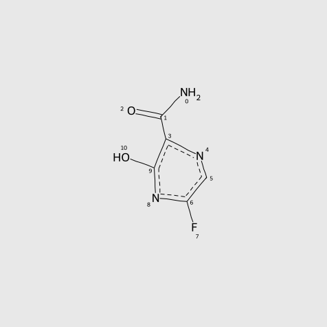 NC(=O)c1ncc(F)nc1O